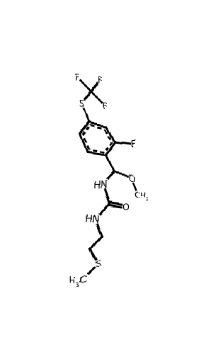 COC(NC(=O)NCCSC)c1ccc(SC(F)(F)F)cc1F